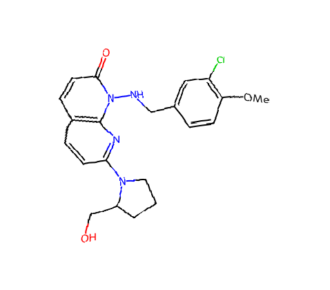 COc1ccc(CNn2c(=O)ccc3ccc(N4CCCC4CO)nc32)cc1Cl